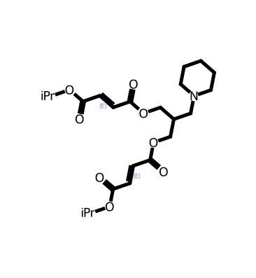 CC(C)OC(=O)/C=C/C(=O)OCC(COC(=O)/C=C/C(=O)OC(C)C)CN1CCCCC1